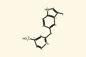 Cc1c[nH]c2ccc(Cc3cc(C(=O)O)ccn3)cc12